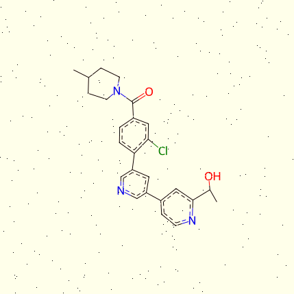 CC1CCN(C(=O)c2ccc(-c3cncc(-c4ccnc(C(C)O)c4)c3)c(Cl)c2)CC1